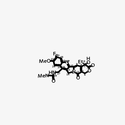 CC[C@@]1(O)C(=O)OCc2c1cc1n(c2=O)Cc2c-1nc1cc(F)c(OC)cc1c2CNC(=O)NC